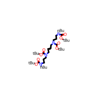 CCCCN(CCCN(CC=CCN(CCCN(CCCC)C(=O)OC(C)(C)C)C(=O)OC(C)(C)C)C(=O)OC(C)(C)C)C(=O)OC(C)(C)C